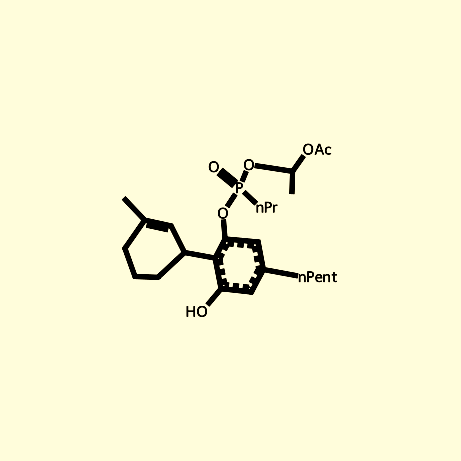 CCCCCc1cc(O)c(C2C=C(C)CCC2)c(OP(=O)(CCC)OC(C)OC(C)=O)c1